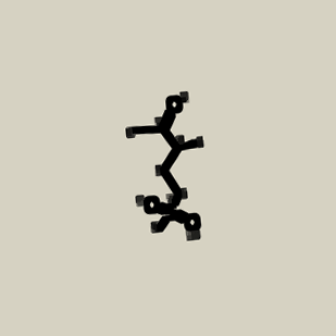 CC(=O)[C@@H](C)CCS(C)(=O)=O